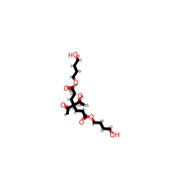 CC(=O)C(CCC(=O)OCCCCO)(CCC(=O)OCCCCO)C(C)=O